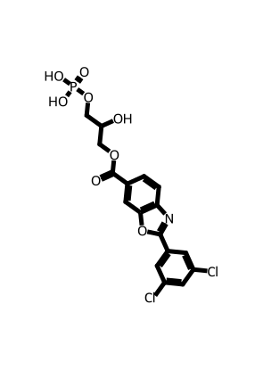 O=C(OCC(O)COP(=O)(O)O)c1ccc2nc(-c3cc(Cl)cc(Cl)c3)oc2c1